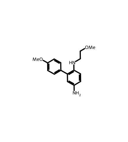 COCCNc1ccc(N)cc1-c1ccc(OC)cc1